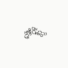 Cl.O=c1[nH]c(-c2ccc(S(=O)(=O)Nc3cccnc3)cc2)ccc1CCl